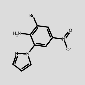 Nc1c(Br)cc([N+](=O)[O-])cc1-n1cccn1